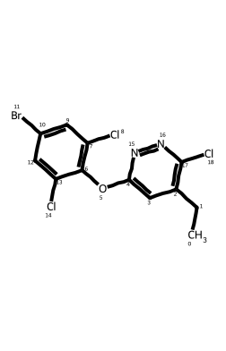 CCc1cc(Oc2c(Cl)cc(Br)cc2Cl)nnc1Cl